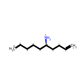 C=CCC[C@H](N)CCCCC